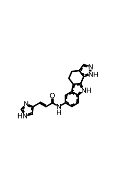 O=C(C=Cc1c[nH]cn1)Nc1ccc2[nH]c3c(c2c1)CCc1cn[nH]c1-3